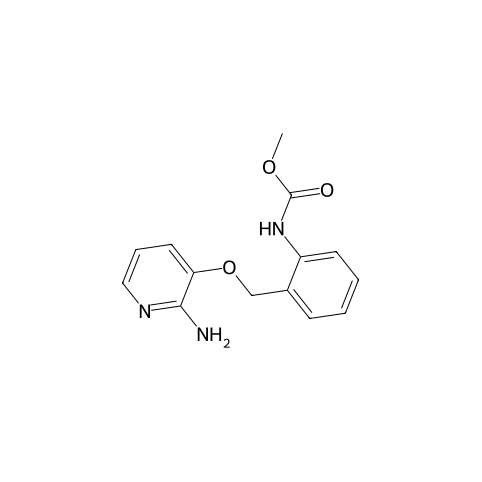 COC(=O)Nc1ccccc1COc1cccnc1N